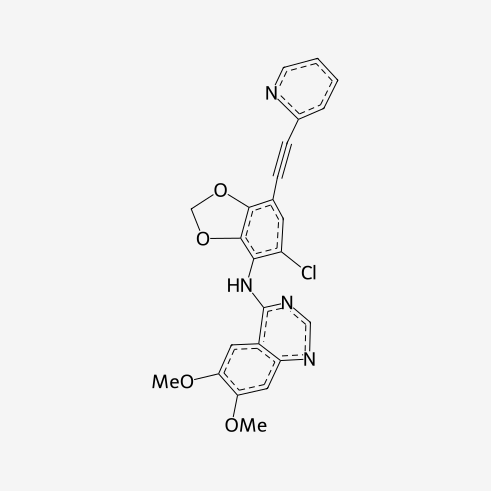 COc1cc2ncnc(Nc3c(Cl)cc(C#Cc4ccccn4)c4c3OCO4)c2cc1OC